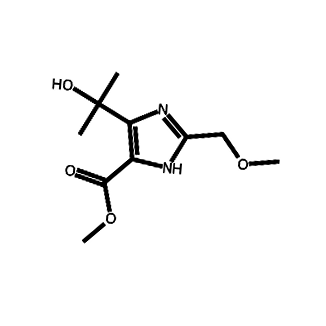 COCc1nc(C(C)(C)O)c(C(=O)OC)[nH]1